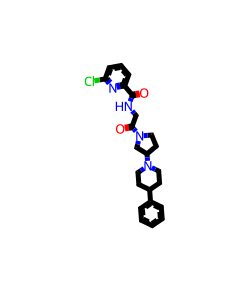 O=C(NCC(=O)N1CCC(N2CCC(c3ccccc3)CC2)C1)c1cccc(Cl)n1